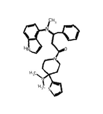 CN(c1cccc2[nH]ccc12)C(CC(=O)N1CCC(c2cccs2)(N(C)C)CC1)c1ccccc1